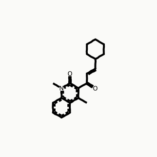 Cc1c(C(=O)/C=C/C2CCCCC2)c(=O)n(C)c2ccccc12